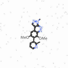 COc1cc2c(nnc3c2cnn3C)c(OC)c1-c1cccnc1C